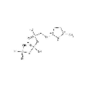 B[C@H]1CC[C@@H](OCP(=O)(O)OP(=O)(O)OP(=O)(O)O)N1